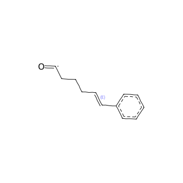 O=[C]CCC/C=C/c1ccccc1